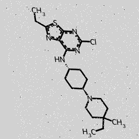 CCc1nc2c(N[C@H]3CC[C@H](N4CCC(C)(CC)CC4)CC3)nc(Cl)nc2s1